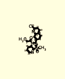 C=CC(=O)N(Cc1ccc2ccc(Cl)nc2c1)c1cccnc1S(C)(=O)=O